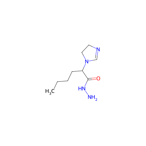 CCCCC(C(=O)NN)N1C=NCC1